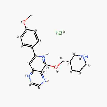 COc1ccc(-c2cc3nccnc3c(OC[C@H]3CCCNC3)n2)cc1.Cl